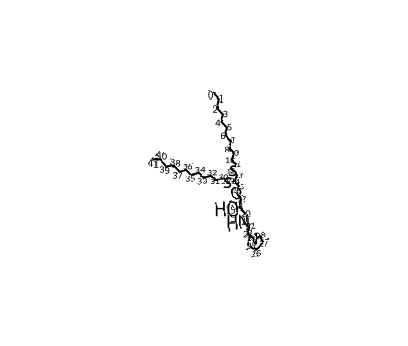 CCCCCCCCCCCCSCC(COCC(O)CNCCN1CCCC1)SCCCCCCCCCCCC